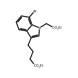 CCOC(=O)CCCc1cn(CC(=O)OCC)c2c(Br)cccc12